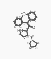 O=C(C1c2ccccc2Oc2ccccc21)C1NCC[C@H]1CN1CCCC1